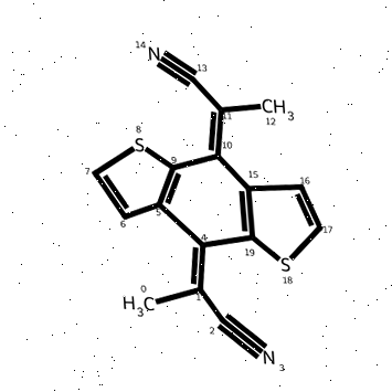 CC(C#N)=c1c2ccsc2c(=C(C)C#N)c2ccsc12